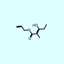 C=CCOC(=O)C(C)=C(O)CC